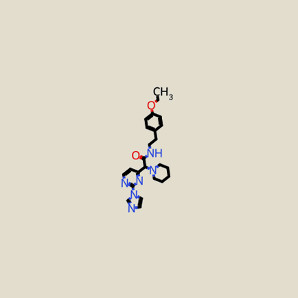 CCOc1ccc(CCNC(=O)C(c2ccnc(-n3ccnc3)n2)N2CCCCC2)cc1